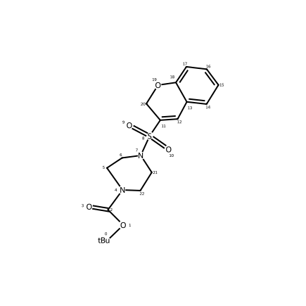 CC(C)(C)OC(=O)N1CCN(S(=O)(=O)C2=Cc3ccccc3OC2)CC1